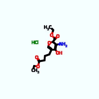 CCOC(=O)CCCC1=COC(C(=O)OCC)C(N)=C1O.Cl